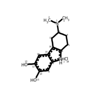 CN(C)C1CCc2[nH]c3cc(O)c(O)cc3c2C1.Cl